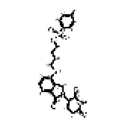 Cc1ccc(S(=O)(=O)OCCCCSc2cccc3c2CN(C2CCC(=O)NC2=O)C3=O)cc1